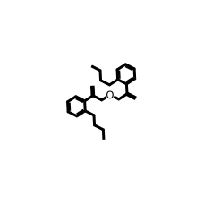 C=C(COCC(=C)c1ccccc1CCCC)c1ccccc1CCCC